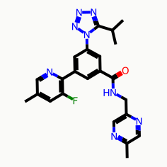 Cc1cnc(-c2cc(C(=O)NCc3cnc(C)cn3)cc(-n3nnnc3C(C)C)c2)c(F)c1